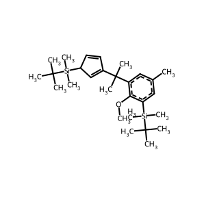 COc1c(C(C)(C)C2=CC([Si](C)(C)C(C)(C)C)C=C2)cc(C)cc1[Si](C)(C)C(C)(C)C